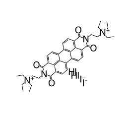 CC[N+](CC)(CC)CCN1C(=O)c2ccc3c4ccc5c6c(ccc(c7ccc(c2c37)C1=O)c64)C(=O)N(CC[N+](CC)(CC)CC)C5=O.I.I.[I-].[I-]